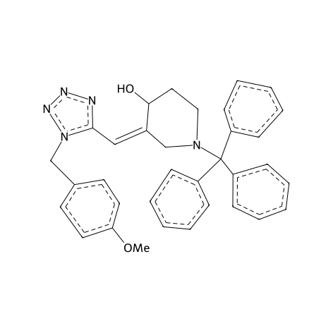 COc1ccc(Cn2nnnc2/C=C2/CN(C(c3ccccc3)(c3ccccc3)c3ccccc3)CCC2O)cc1